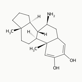 C[C@@]12CCC[C@H]1[C@@H]1[C@@H](N)CC3C=C(O)C(O)=C[C@]3(C)[C@H]1CC2